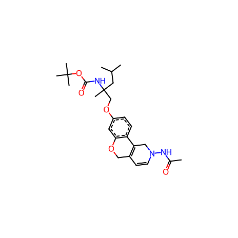 CC(=O)NN1C=CC2=C(C1)c1ccc(OCC(C)(CC(C)C)NC(=O)OC(C)(C)C)cc1OC2